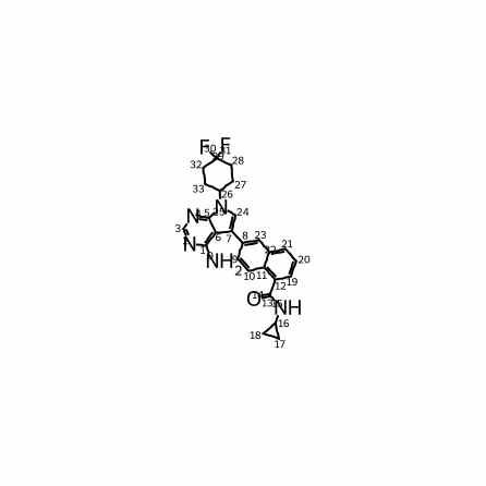 Nc1ncnc2c1c(-c1ccc3c(C(=O)NC4CC4)cccc3c1)cn2C1CCC(F)(F)CC1